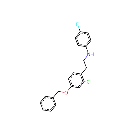 Cl.Fc1ccc(NCCc2ccc(OCc3ccccc3)cc2)cc1